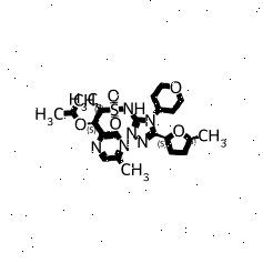 Cc1cnc([C@H](OC(C)C)[C@H](C)S(=O)(=O)Nc2nnc([C@@H]3CC[C@H](C)O3)n2C2CCOCC2)cn1